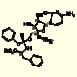 CCOC(=O)[C@H](Cc1ccccc1)NP(=O)(OC[C@@]1(N=[N+]=[N-])O[C@@H](n2ccc(N)nc2=O)[C@H](O)[C@@H]1O)Oc1ccccc1